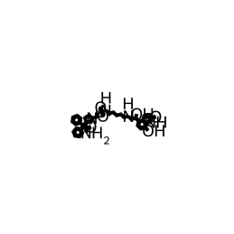 NC(=O)C(c1ccccc1)(c1ccccc1)C1CCN(CCS(=O)(=O)NCCCCCNCC(O)c2ccc(O)c3[nH]c(=O)ccc23)C1